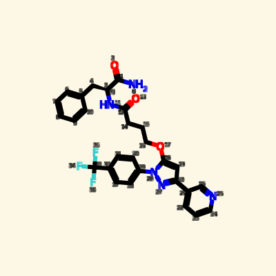 NC(=O)[C@H](Cc1ccccc1)NC(=O)CCCOc1cc(-c2cccnc2)nn1-c1ccc(C(F)(F)F)cc1